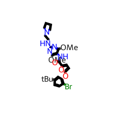 COc1nc(NCCN2CCCC2)nc(OC)c1NC(=O)c1ccc(Oc2cc(C(C)(C)C)ccc2Br)o1